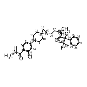 CNC(=O)c1ccc(N2CCC3(CC2)C[C@@H]3CCN(C)C(=O)C(O)(c2ccccc2)C(F)(F)F)cc1Cl